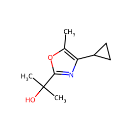 Cc1oc(C(C)(C)O)nc1C1CC1